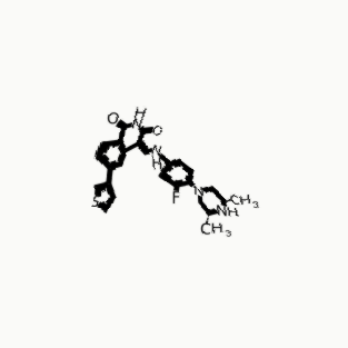 C[C@@H]1CN(c2ccc(N/C=C3\C(=O)NC(=O)c4ccc(-c5ccsc5)cc43)cc2F)C[C@H](C)N1